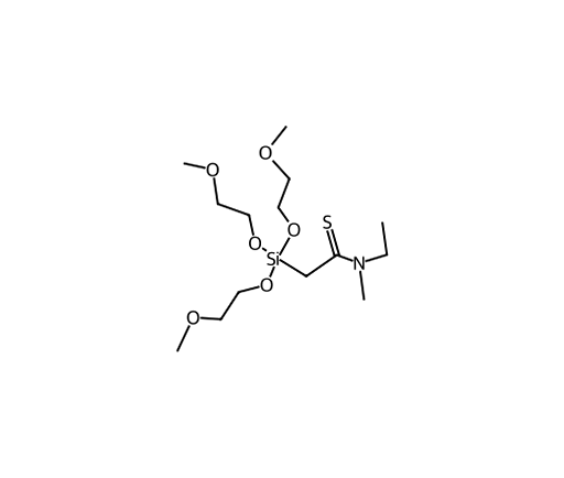 CCN(C)C(=S)C[Si](OCCOC)(OCCOC)OCCOC